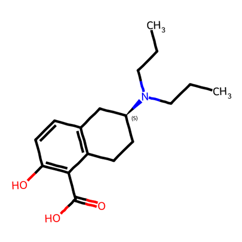 CCCN(CCC)[C@H]1CCc2c(ccc(O)c2C(=O)O)C1